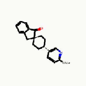 COc1ccc([C@H]2CC[C@@]3(CC2)Cc2ccccc2C3=O)cn1